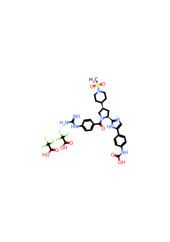 CS(=O)(=O)N1CCC([C@H]2C[C@@H](c3ncc(-c4ccc(NC(=O)O)cc4)[nH]3)N(C(=O)c3ccc(NC(=N)N)cc3)C2)CC1.O=C(O)C(F)(F)F.O=C(O)C(F)(F)F